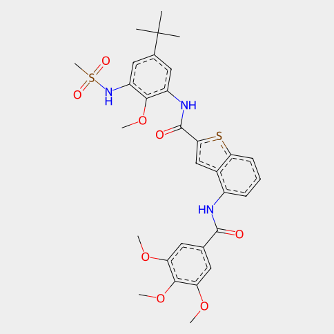 COc1cc(C(=O)Nc2cccc3sc(C(=O)Nc4cc(C(C)(C)C)cc(NS(C)(=O)=O)c4OC)cc23)cc(OC)c1OC